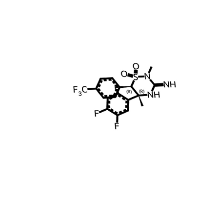 CN1C(=N)N[C@](C)(c2cc(F)c(F)cc2F)[C@@H](c2ccc(C(F)(F)F)cc2)S1(=O)=O